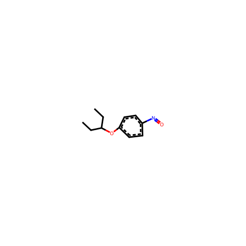 CCC(CC)Oc1ccc(N=O)cc1